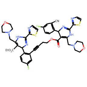 CCOC(=O)C1=C(CN2CCOCC2)NC(c2nccs2)=NC1c1ccc(F)cc1C#CCCOC(=O)C1=C(CN2CCOCC2)NC(c2nccs2)=NC1c1ccc(F)cc1C#N